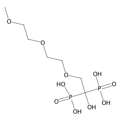 COCCOCCOCC(O)(P(=O)(O)O)P(=O)(O)O